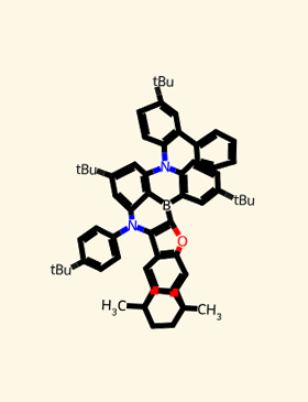 CC(C)(C)c1ccc(N2c3cc(C(C)(C)C)cc4c3B(c3cc(C(C)(C)C)ccc3N4c3ccc(C(C)(C)C)cc3-c3ccccc3)c3oc4cc5c(cc4c32)C2(C)CCC5(C)CC2)cc1